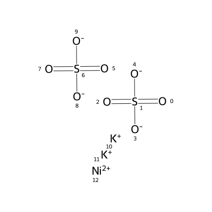 O=S(=O)([O-])[O-].O=S(=O)([O-])[O-].[K+].[K+].[Ni+2]